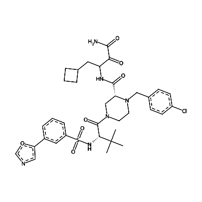 CC(C)(C)[C@H](NS(=O)(=O)c1cccc(-c2cnco2)c1)C(=O)N1CCN(Cc2ccc(Cl)cc2)[C@@H](C(=O)NC(CC2CCC2)C(=O)C(N)=O)C1